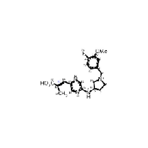 COc1cc(CN2CC[C@@H](Nc3cnc(/C=C(\C)C(=O)O)cn3)C2)ccc1F